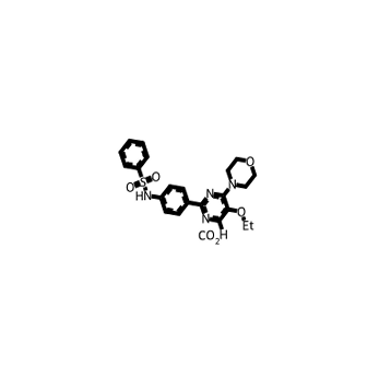 CCOc1c(C(=O)O)nc(-c2ccc(NS(=O)(=O)c3ccccc3)cc2)nc1N1CCOCC1